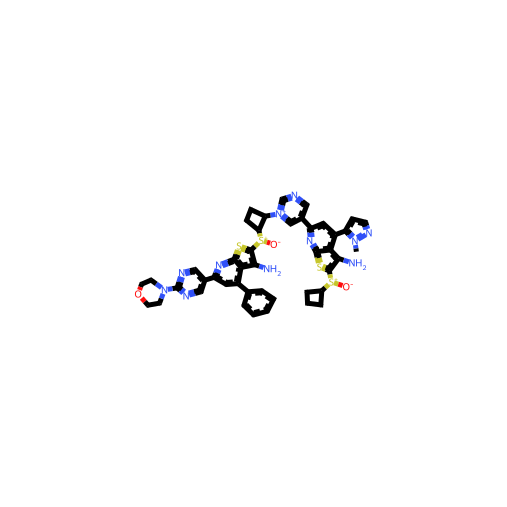 Cn1nccc1-c1cc(-c2cnc[n+](C3CCC3[S+]([O-])c3sc4nc(-c5cnc(N6CCOCC6)nc5)cc(-c5ccccc5)c4c3N)c2)nc2sc([S+]([O-])C3CCC3)c(N)c12